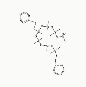 C[SiH](C)O[Si](C)(C)O[Si](C)(C)O[Si](C)(CCc1ccccc1)O[Si](C)(C)O[Si](C)(C)O[Si](C)(C)CCc1ccccc1